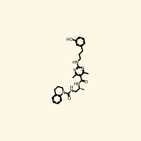 Cc1nc(NCCCc2cccc(O)c2)nc(C)c1C(=O)N[C@@H](C)CNC(=O)N1CCCc2ccccc21